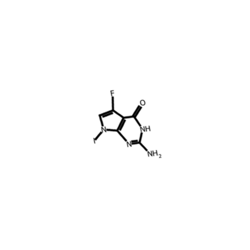 Nc1nc2c(c(F)cn2I)c(=O)[nH]1